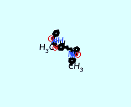 Cc1ccc(N2N=C(CCCc3ccc(OC(C)(C)CNC(=O)c4ccccc4)cc3)C3(CCCC3)C2=O)cc1